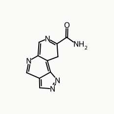 NC(=O)C1=NC=c2ncc3c(c2C1)N=NC=3